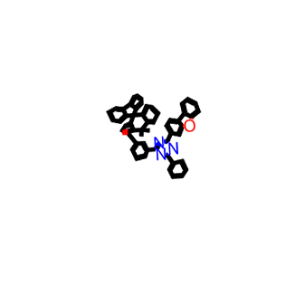 CC1(C)c2ccccc2C2(c3ccccc3-c3ccccc32)c2cccc(-c3cccc(-c4nc(-c5ccccc5)nc(-c5ccc6c(c5)oc5ccccc56)n4)c3)c21